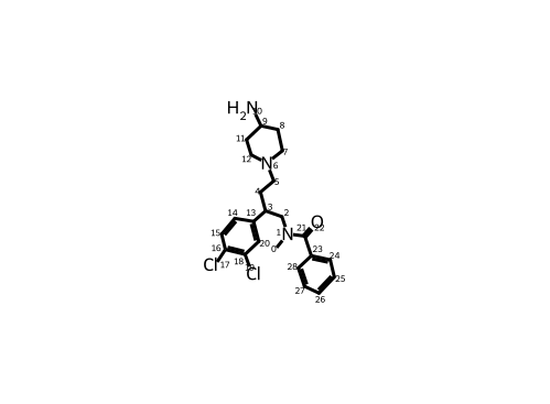 CN(CC(CCN1CCC(N)CC1)c1ccc(Cl)c(Cl)c1)C(=O)c1ccccc1